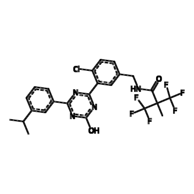 CC(C)c1cccc(-c2nc(O)nc(-c3cc(CNC(=O)C(C)(C(F)(F)F)C(F)(F)F)ccc3Cl)n2)c1